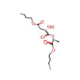 CCCCOC(=O)C[C@H](O)C(=O)O[C@@H](C)C(=O)OCCCC